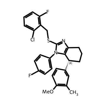 COc1ccc([C@H]2CCCc3nc(SCc4c(F)cccc4Cl)n(-c4ccc(F)cc4)c32)cc1C